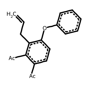 C=CCc1c(Oc2ccccc2)ccc(C(C)=O)c1C(C)=O